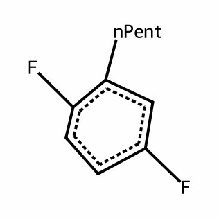 CCCCCc1cc(F)ccc1F